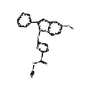 COc1ccc2c(c1)cc(-c1ccccc1)n2Cc1ccc(C(=O)NC#N)o1